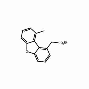 CCOC(=O)Cc1cccc2oc3cccc(Cl)c3c12